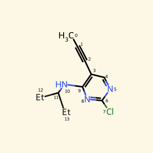 CC#Cc1cnc(Cl)nc1NC(CC)CC